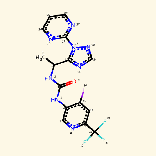 CC(NC(=O)Nc1cnc(C(F)(F)F)cc1I)c1ncnn1-c1ncccn1